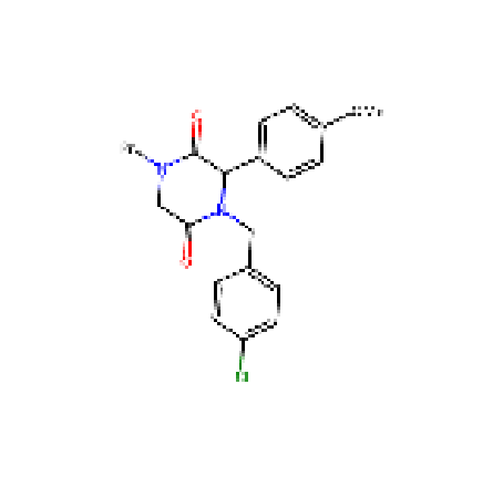 COc1ccc(C2C(=O)N(C(C)C)CC(=O)N2Cc2ccc(Cl)cc2)cc1